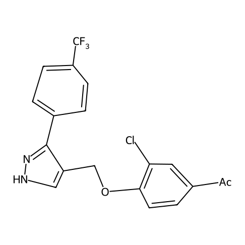 CC(=O)c1ccc(OCc2c[nH]nc2-c2ccc(C(F)(F)F)cc2)c(Cl)c1